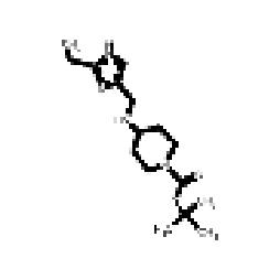 CCc1nc(CNC2CCN(C(=O)OC(C)(C)C)CC2)c[nH]1